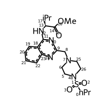 CCCS(=O)(=O)N1CCN(Cc2nc(N[C@H](C(=O)OC)C(C)C)c3ccccc3n2)CC1